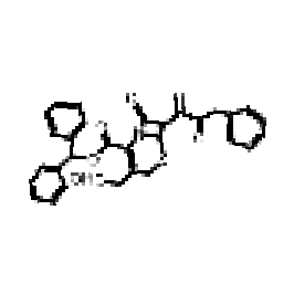 O=CCC1=C(C(=O)OC(c2ccccc2)c2ccccc2)N2C(=O)C(NC(=O)Cc3ccccc3)C2SC1